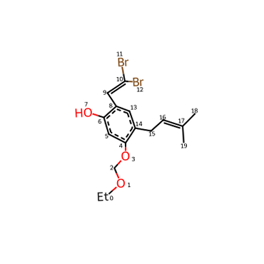 CCOCOc1cc(O)c(C=C(Br)Br)cc1CC=C(C)C